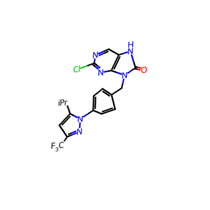 CC(C)c1cc(C(F)(F)F)nn1-c1ccc(Cn2c(=O)[nH]c3cnc(Cl)nc32)cc1